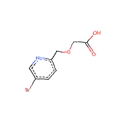 O=C(O)COCc1ccc(Br)cn1